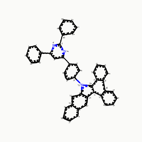 c1ccc(-c2cc(-c3ccc(-n4c5cc6ccccc6cc5c5c6ccccc6c6ccccc6c54)cc3)nc(-c3ccccc3)n2)cc1